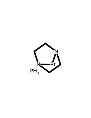 C1C[N]2CC[N]1[Pt]2.P